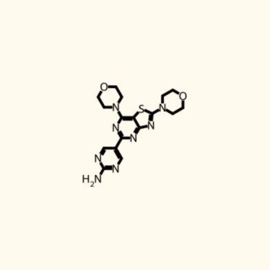 Nc1ncc(-c2nc(N3CCOCC3)c3sc(N4CCOCC4)nc3n2)cn1